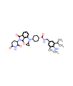 CNc1c(C)cc(CNC(=O)[C@H]2CC[C@H](N(c3cccc4c3C(=O)N(C3CCC(=O)NC3=O)C4=O)C3CC3)CC2)cc1C(C)C